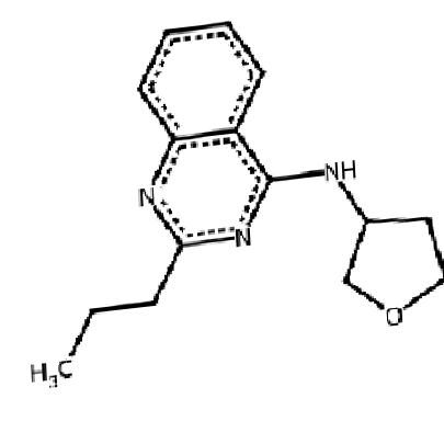 CCCc1nc(NC2CCOC2)c2ccccc2n1